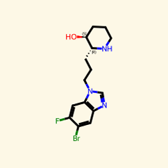 O[C@H]1CCCN[C@@H]1CCCn1cnc2cc(Br)c(F)cc21